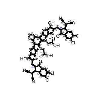 N#CC(C#N)=C1/C(=C/c2sc3c(sc4c5c6nsnc6c6c7sc8c(O)c(/C=C9\C(=O)c%10cc(Cl)c(Cl)cc%10C9=C(C#N)C#N)sc8c7n(CC(O)O)c6c5n(CC(O)O)c34)c2O)C(=O)c2cc(Cl)c(Cl)cc21